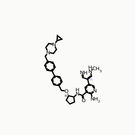 CN/C=C(\C=N)c1cnc(N)c(C(=O)NC2CCC[C@@H]2OCc2ccc(-c3ccc(CN4CCN(C5CC5)CC4)cc3)cc2)c1